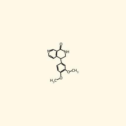 COc1ccc(C2CNC(=O)c3cnccc32)cc1OC